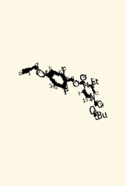 C#CCOc1cc(F)c(COC(=O)N2CCN(C(=O)OC(C)(C)C)C[C@H]2CC)c(F)c1